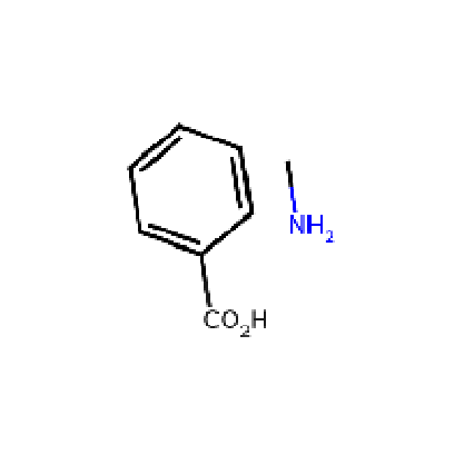 CN.O=C(O)c1ccccc1